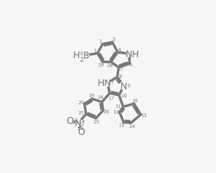 Bc1ccc2[nH]cc(-c3nc(-c4ccccc4)c(-c4ccc([N+](=O)[O-])cc4)[nH]3)c2c1